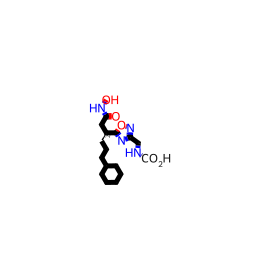 O=C(O)NCc1noc([C@H](CCCC2CCCCC2)CC(=O)NO)n1